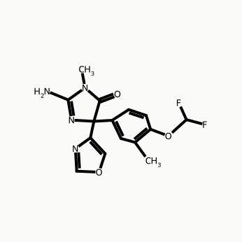 Cc1cc(C2(c3cocn3)N=C(N)N(C)C2=O)ccc1OC(F)F